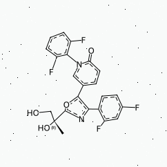 C[C@@](O)(CO)c1nc(-c2ccc(F)cc2F)c(-c2ccc(=O)n(-c3c(F)cccc3F)c2)o1